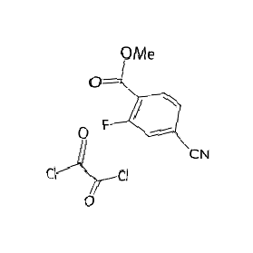 COC(=O)c1ccc(C#N)cc1F.O=C(Cl)C(=O)Cl